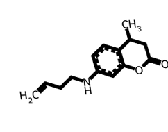 C=CCCNc1ccc2c(c1)OC(=O)CC2C